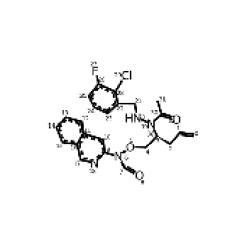 C=CC[C@@H](CON(C=O)c1cc2ccccc2cn1)N(NCc1cccc(F)c1Cl)C(C)=O